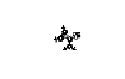 CC(C)(C)c1cc(-c2cc(B3OC(C)(C)C(C)(C)O3)nc(-n3c4ccc(C(C)(C)C)cc4c4cc(C(C)(C)C)ccc43)c2)cc(C(C)(C)C)c1